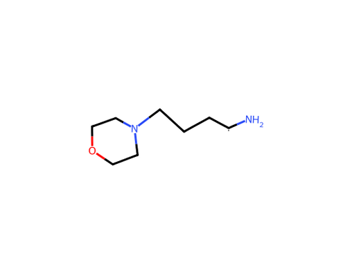 N[CH]CCCN1CCOCC1